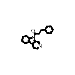 O=C(CCc1ccccc1)n1c2ccccc2c2ccncc21